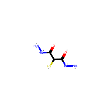 NNC(=O)C(S)C(=O)NN